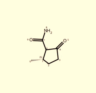 C[C@H]1[CH]CC(=O)C1C(N)=O